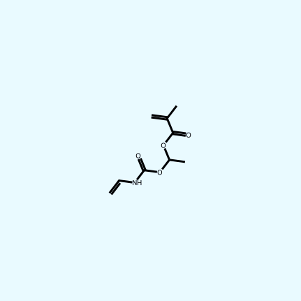 C=CNC(=O)OC(C)OC(=O)C(=C)C